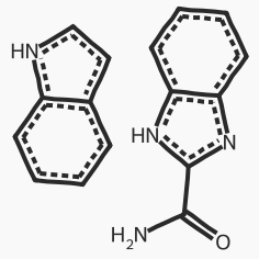 NC(=O)c1nc2ccccc2[nH]1.c1ccc2[nH]ccc2c1